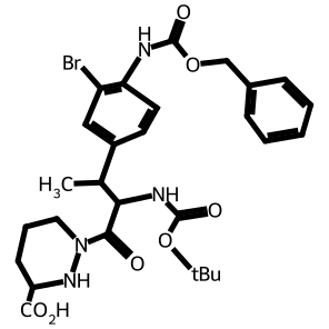 CC(c1ccc(NC(=O)OCc2ccccc2)c(Br)c1)C(NC(=O)OC(C)(C)C)C(=O)N1CCCC(C(=O)O)N1